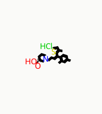 Cc1ccc(C(=CCCN2CCC[C@@H](C(=O)O)C2)c2sccc2C)c(C)c1.Cl